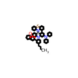 CCCCc1ccc(N2c3cc4c(cc3B3c5c(cc(N(c6ccccc6)c6ccccc6)cc52)-c2cccc5c2N3c2ccccc2S5)oc2ccccc24)c(-c2ccccc2)c1